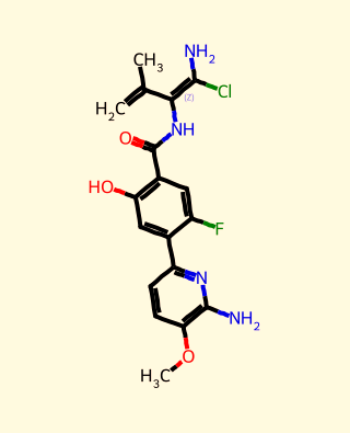 C=C(C)/C(NC(=O)c1cc(F)c(-c2ccc(OC)c(N)n2)cc1O)=C(\N)Cl